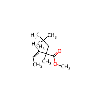 CC=C(C)C(C)(CC(C)(C)C)C(=O)OC